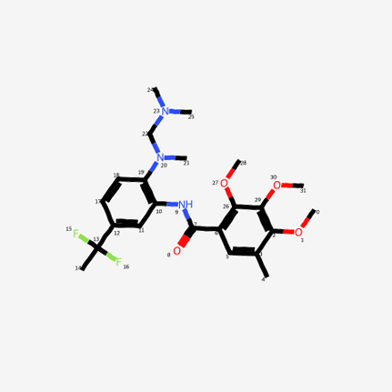 COc1c(C)cc(C(=O)Nc2cc(C(C)(F)F)ccc2N(C)CN(C)C)c(OC)c1OC